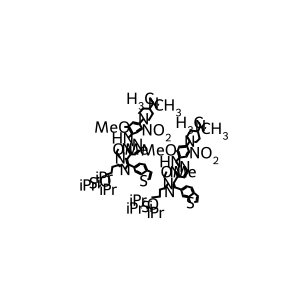 COCn1c(CCCO[Si](C(C)C)(C(C)C)C(C)C)nc(-c2ccc3ccsc3c2)c1-c1ccnc(Nc2cc([N+](=O)[O-])c(N3CCC(N(C)C)CC3)cc2OC)n1.COCn1c(CCCO[Si](C(C)C)(C(C)C)C(C)C)nc(-c2ccc3ccsc3c2)c1-c1ccnc(Nc2cc([N+](=O)[O-])c(N3CCC(N(C)C)CC3)cc2OC)n1